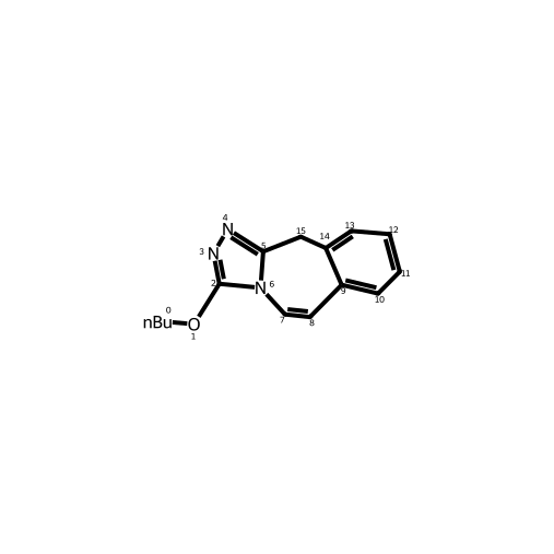 CCCCOc1nnc2n1C=Cc1ccccc1C2